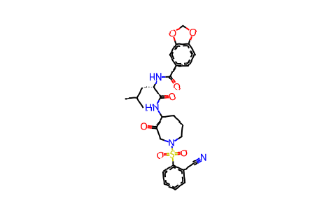 CC(C)C[C@H](NC(=O)c1ccc2c(c1)OCO2)C(=O)NC1CCCN(S(=O)(=O)c2ccccc2C#N)CC1=O